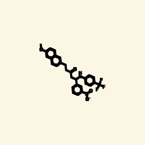 COc1ccc2cc(CCC(=O)CC(Nc3ccc(C(F)(F)F)cc3)c3cccc([N+](=O)[O-])c3)ccc2c1